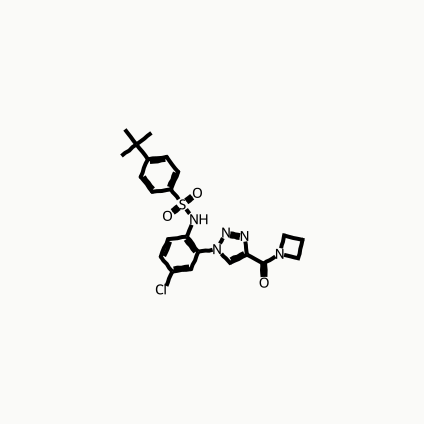 CC(C)(C)c1ccc(S(=O)(=O)Nc2ccc(Cl)cc2-n2cc(C(=O)N3CCC3)nn2)cc1